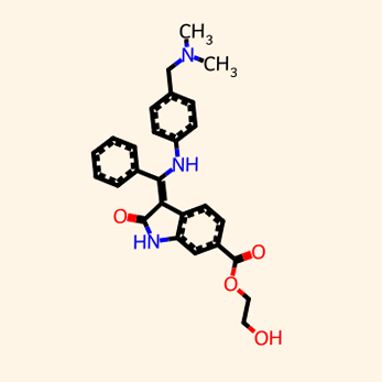 CN(C)Cc1ccc(NC(=C2C(=O)Nc3cc(C(=O)OCCO)ccc32)c2ccccc2)cc1